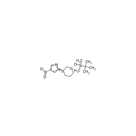 CC(C)(C)[Si](C)(C)O[C@@H]1CCC[C@@H](n2cc([N+](=O)[O-])cn2)C1